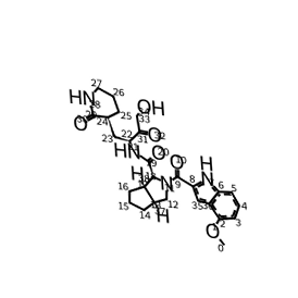 COc1cccc2[nH]c(C(=O)N3C[C@@H]4CCC[C@@H]4[C@H]3C(=O)N[C@@H](C[C@@H]3CCCNC3=O)C(=O)CO)cc12